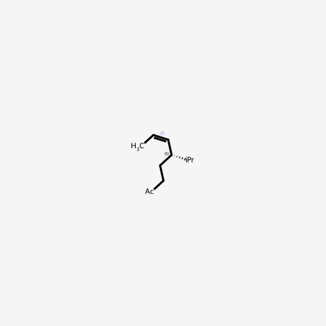 C/C=C\[C@@H](CCC(C)=O)C(C)C